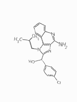 CC(C)Cn1c(C(O)c2ccc(Cl)cc2)nc2c(N)nc3ccccc3c21